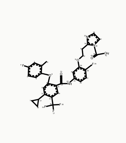 Cc1cc(F)ccc1Oc1cc(C2CC2)c(C(F)(F)F)cc1C(=O)Nc1ccc(F)c(OCCc2nccn2C(=O)O)c1